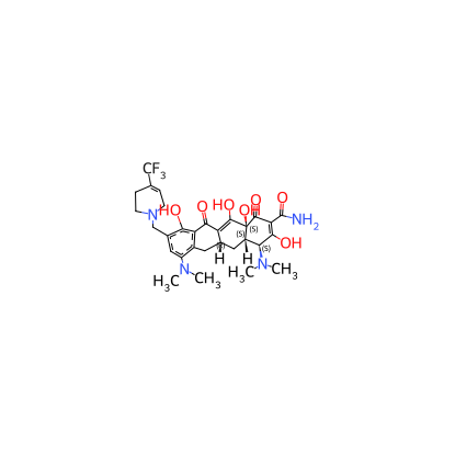 CN(C)c1cc(CN2CC=C(C(F)(F)F)CC2)c(O)c2c1C[C@H]1C[C@H]3[C@H](N(C)C)C(O)=C(C(N)=O)C(=O)[C@@]3(O)C(O)=C1C2=O